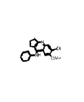 CCc1cc2nc3c(c(NC4CCCCC4)c2cc1OC)CCC3